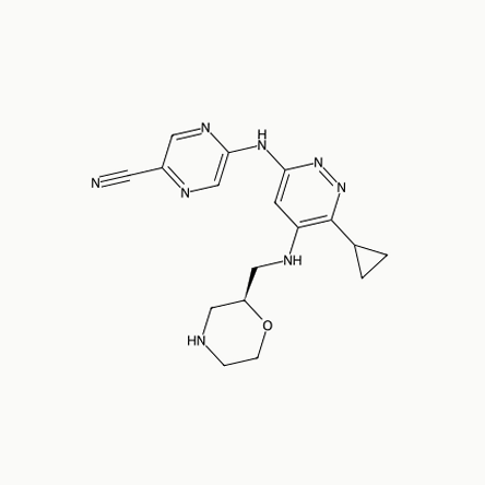 N#Cc1cnc(Nc2cc(NC[C@@H]3CNCCO3)c(C3CC3)nn2)cn1